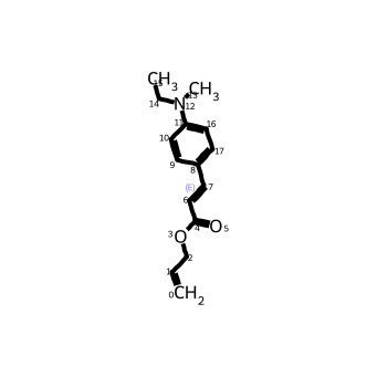 C=CCOC(=O)/C=C/c1ccc(N(C)CC)cc1